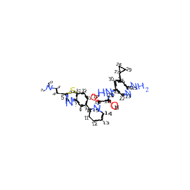 CN(C)CCc1nc2cc([C@@H]3CCCCN3C(=O)C(=O)Nc3cnc(N)c(C4CC4)c3)ccc2s1